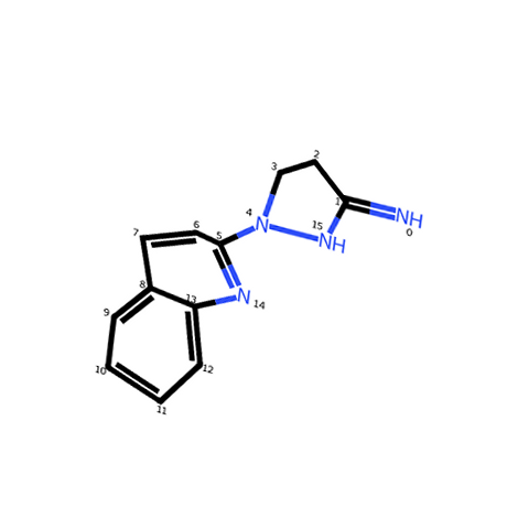 N=C1CCN(c2ccc3ccccc3n2)N1